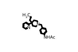 C=CCC1(c2ccccn2)CCN(Cc2ccc(NC(C)=O)cc2)CC1